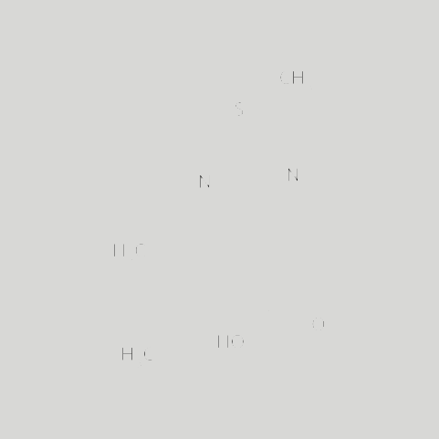 CCC(C)c1nc(SC)ncc1C(=O)O